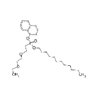 CCCCCCCCCCCCOP(=O)(CCOCCOCC)Oc1cccc2ccccc12